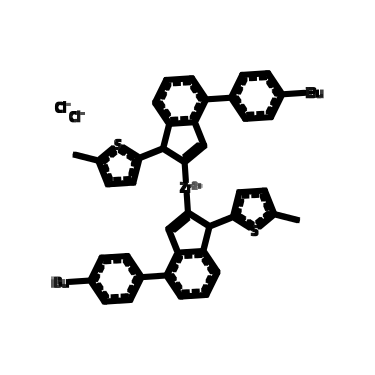 CCC(C)c1ccc(-c2cccc3c2C=[C]([Zr+2][C]2=Cc4c(-c5ccc(C(C)CC)cc5)cccc4C2c2ccc(C)s2)C3c2ccc(C)s2)cc1.[Cl-].[Cl-]